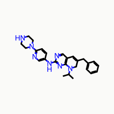 CC(C)N1CC(Cc2ccccc2)=Cc2cnc(Nc3ccc(N4CCNCC4)nc3)nc21